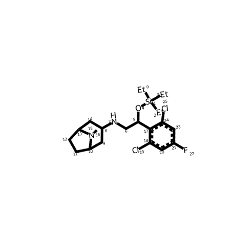 CC[Si](CC)(CC)OC(CNC1CC2CCC(C1)N2C)c1c(Cl)cc(F)cc1Cl